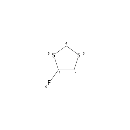 FC1CSCS1